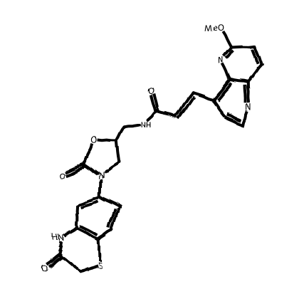 COc1ccc2nccc(C=CC(=O)NCC3CN(c4ccc5c(c4)NC(=O)CS5)C(=O)O3)c2n1